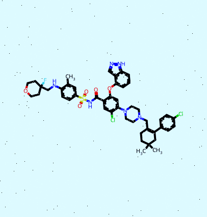 Cc1cc(S(=O)(=O)NC(=O)c2cc(Cl)c(N3CCN(CC4=C(c5ccc(Cl)cc5)CC(C)(C)CC4)CC3)cc2Oc2cccc3[nH]ncc23)ccc1NCC1(F)CCOCC1